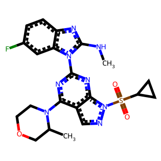 CNc1nc2ccc(F)cc2n1-c1nc(N2CCOCC2C)c2cnn(S(=O)(=O)C3CC3)c2n1